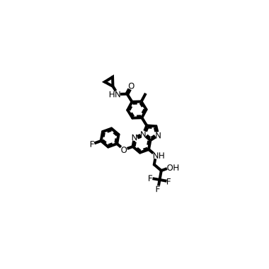 Cc1cc(-c2cnc3c(NCC(O)C(F)(F)F)cc(Oc4cccc(F)c4)nn23)ccc1C(=O)NC1CC1